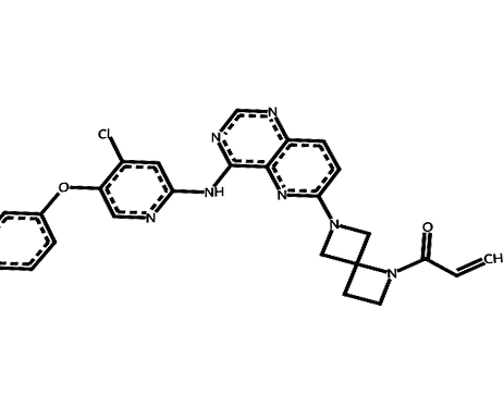 C=CC(=O)N1CCC12CN(c1ccc3ncnc(Nc4cc(Cl)c(Oc5ccccc5)cn4)c3n1)C2